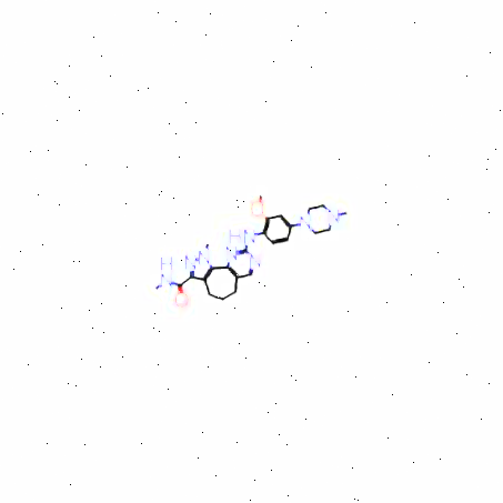 CNC(=O)c1nn(C)c2c1CCCc1cnc(Nc3ccc(N4CCN(C)CC4)cc3OC)nc1-2